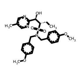 CC[C@@H]([C@H](O)c1ncc(C)cn1)S(=O)(=O)N(Cc1ccc(OC)cc1)Cc1ccc(OC)cc1